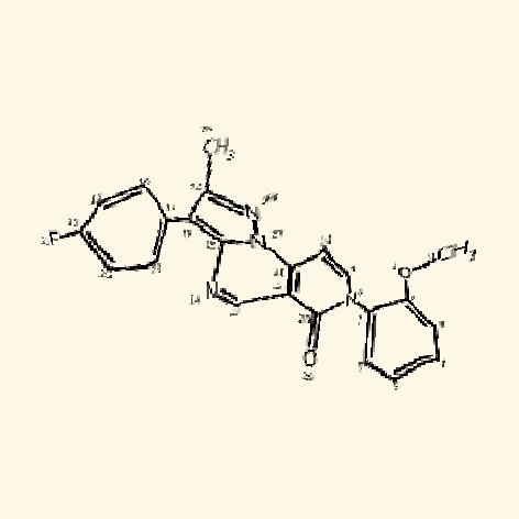 COc1ccccc1-n1ccc2c(cnc3c(-c4ccc(F)cc4)c(C)nn32)c1=O